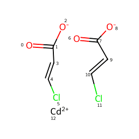 O=C([O-])/C=C/Cl.O=C([O-])/C=C/Cl.[Cd+2]